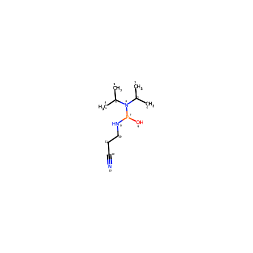 CC(C)N(C(C)C)P(O)NCCC#N